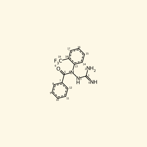 N=C(N)NN(C(=O)c1ccccc1)c1ccc[c]c1C(F)(F)F